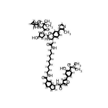 Cc1ncsc1-c1ccc([C@H](CC(=O)NCCCCCCCCCNC(=O)c2ccc3c(c2)[C@H](NC(=O)c2cc(-c4ccc(C(=O)N(C)C)c(O)c4)on2)CC3)NC(=O)[C@@H]2C[C@@H](O)CN2C(=O)[C@@H](NC(=O)C2(F)CC2)C(C)(C)C)cc1